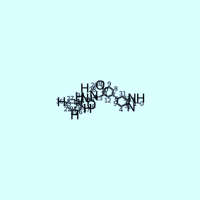 Cc1nc2ccc(-c3ccc4c(c3)CN(C(=O)NC3[C@H]5C[C@@H]6C[C@@H](C[C@H]3C6)C5)CCO4)cc2[nH]1